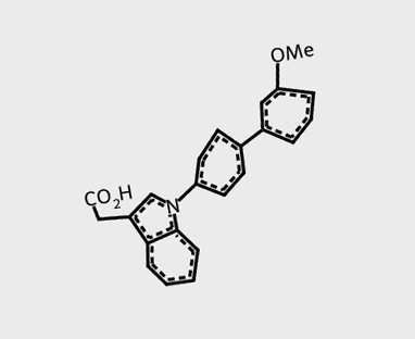 COc1cccc(-c2ccc(-n3cc(CC(=O)O)c4ccccc43)cc2)c1